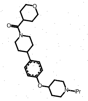 CC(C)N1CCC(Oc2ccc(C3CCN(C(=O)C4CCOCC4)CC3)cc2)CC1